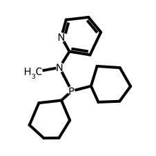 CN(c1ccccn1)P(C1CCCCC1)C1CCCCC1